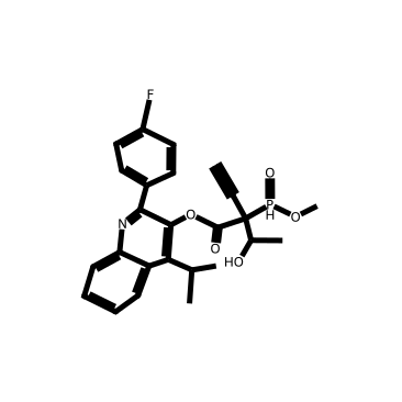 C#CC(C(=O)Oc1c(-c2ccc(F)cc2)nc2ccccc2c1C(C)C)(C(C)O)[PH](=O)OC